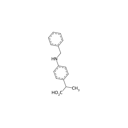 CC(C(=O)O)c1ccc(NCc2ccccc2)cc1